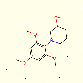 COc1cc(OC)c(N2CCCC(O)C2)c(OC)c1